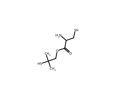 CC(C)(S)COC(=O)C(N)CS